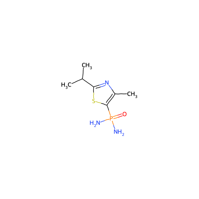 Cc1nc(C(C)C)sc1P(N)(N)=O